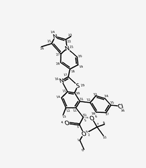 CCOC(=O)[C@@H](OC(C)(C)C)c1c(C)cc2nc(-c3ccn4c(C)nc(C)c4c3)sc2c1-c1ccc(Cl)cc1